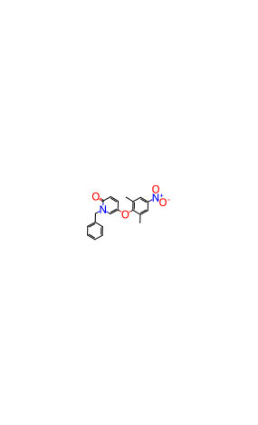 Cc1cc([N+](=O)[O-])cc(C)c1Oc1ccc(=O)n(Cc2ccccc2)c1